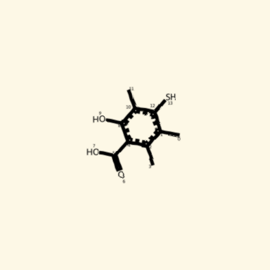 Cc1c(C)c(C(=O)O)c(O)c(C)c1S